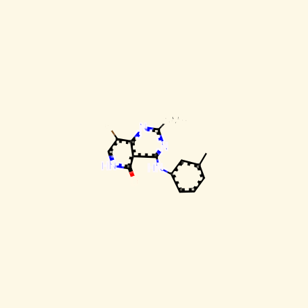 CSc1nc(Nc2cccc(C)c2)c2c(=O)[nH]cc(Br)c2n1